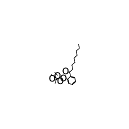 CCCCCCCCC(=O)c1ccccc1OOC(C)(OC)OC